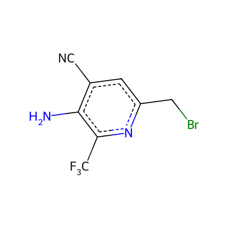 N#Cc1cc(CBr)nc(C(F)(F)F)c1N